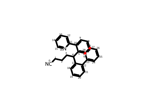 N#CCCCC(c1ccccc1-c1ccccn1)c1ccccc1-c1ccccn1